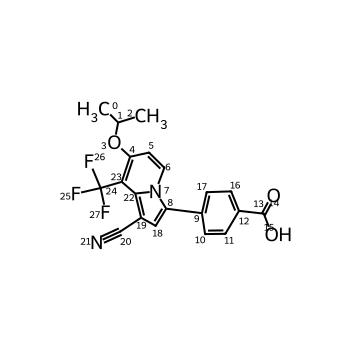 CC(C)Oc1ccn2c(-c3ccc(C(=O)O)cc3)cc(C#N)c2c1C(F)(F)F